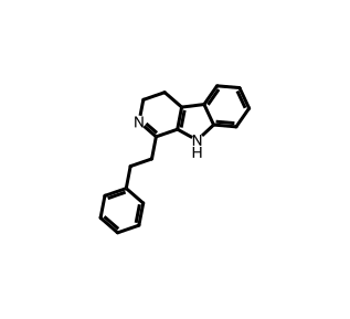 c1ccc(CCC2=NCCc3c2[nH]c2ccccc32)cc1